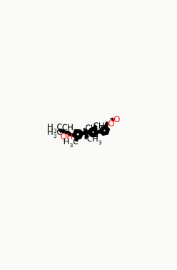 CCC(CC)(c1ccc(CCC(O)C(C)(C)C)c(C)c1)c1ccc(-c2cccc(COC=O)c2)c(C)c1